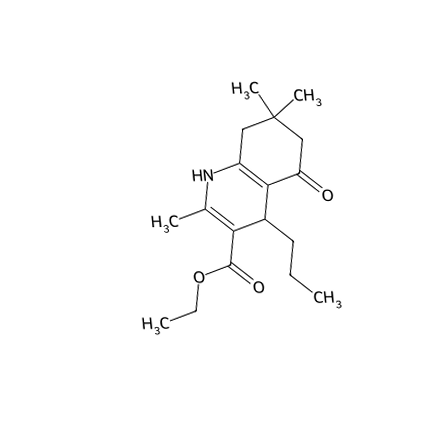 CCCC1C(C(=O)OCC)=C(C)NC2=C1C(=O)CC(C)(C)C2